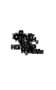 COCCCCOc1ccccc1C(=O)NC[C@@H](C[C@H](N)[C@@H](O)CNC(=O)C(C)OC)C(C)C.Cl